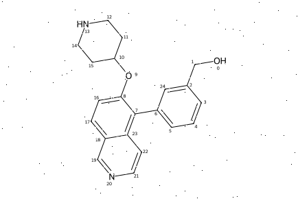 OCc1cccc(-c2c(OC3CCNCC3)ccc3cnccc23)c1